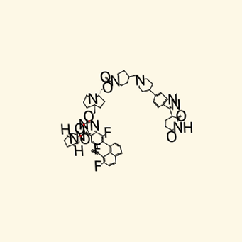 C#Cc1c(F)ccc2cccc(-c3c(F)cc4c(N5C[C@H]6CC[C@@H](C5)N6C(=O)OC(C)(C)C)nc(OC[C@@]56CCCN5[C@H](COC(=O)N5CCC(CN7CCC(c8ccc9c(C%10CCC(=O)NC%10=O)nn(C)c9c8)CC7)CC5)CC6)nc4c3F)c12